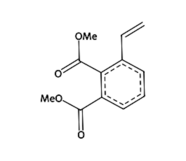 C=Cc1cccc(C(=O)OC)c1C(=O)OC